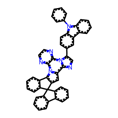 c1ccc(-n2c3ccccc3c3cc(-c4cnc5c6cc7c(n6c6nccnc6n45)-c4ccccc4C74c5ccccc5-c5ccccc54)ccc32)cc1